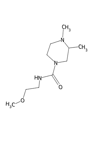 COCCNC(=O)N1CCN(C)C(C)C1